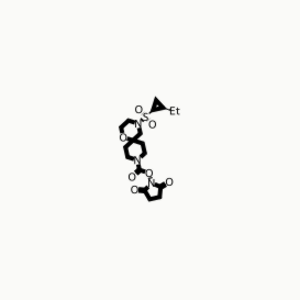 CC[C@H]1C[C@H]1S(=O)(=O)N1CCOC2(CCN(C(=O)ON3C(=O)CCC3=O)CC2)C1